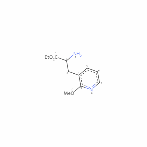 CCOC(=O)C(N)Cc1cccnc1OC